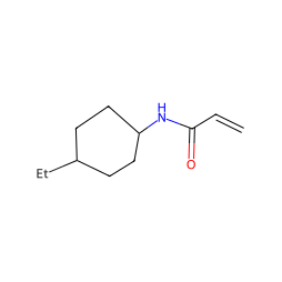 C=CC(=O)NC1CCC(CC)CC1